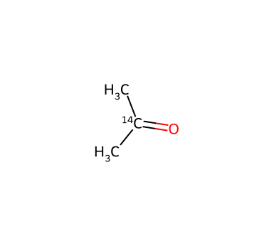 C[14C](C)=O